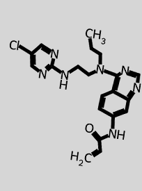 C=CC(=O)Nc1ccc2c(N(CCC)CCNc3ncc(Cl)cn3)ncnc2c1